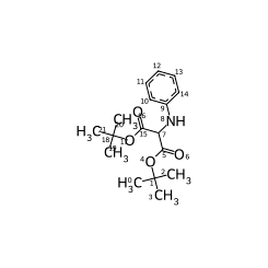 CC(C)(C)OC(=O)C(Nc1ccccc1)C(=O)OC(C)(C)C